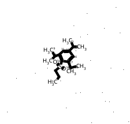 CCCS(=O)(=O)c1c(C(C)C)cc(C(C)C)cc1C(C)C